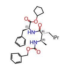 CC(C)C[C@@H](C(=O)N[C@@H](Cc1ccccc1)C(=O)OC1CCCC1)[C@@H](C)NC(=O)OCc1ccccc1